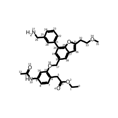 CCOC(=O)Cc1ccc(NC(C)=O)cc1OCc1cc(-c2cccc(CN)c2)c2oc(CCOC)cc2c1